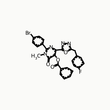 Cn1c(-c2ccc(Br)cc2)nc(-c2nnc(Cc3ccc(F)cc3)o2)c(OC(=O)c2ccccc2)c1=O